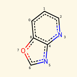 [c]1ccnc2ncoc12